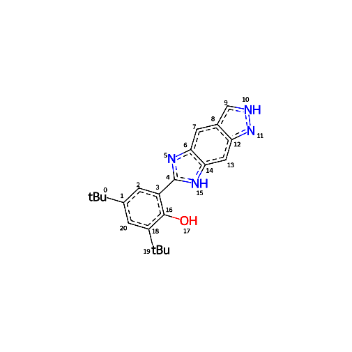 CC(C)(C)c1cc(-c2nc3cc4c[nH]nc4cc3[nH]2)c(O)c(C(C)(C)C)c1